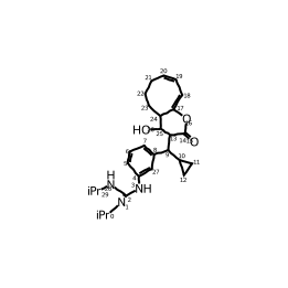 CC(C)N=C(Nc1cccc(C(C2CC2)C2C(=O)OC3=CC=CCCCC3C2O)c1)NC(C)C